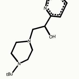 CC(C)(C)N1CCN(CC(O)c2ccccn2)CC1